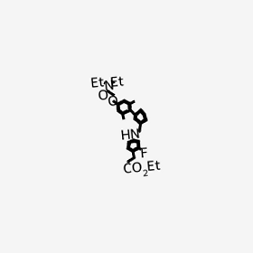 CCOC(=O)CCc1ccc(NCc2cccc(-c3c(C)cc(OCC(=O)N(CC)CC)cc3C)c2)cc1F